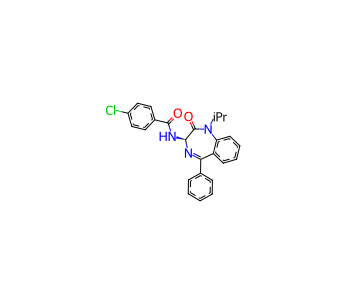 CC(C)N1C(=O)[C@H](NC(=O)c2ccc(Cl)cc2)N=C(c2ccccc2)c2ccccc21